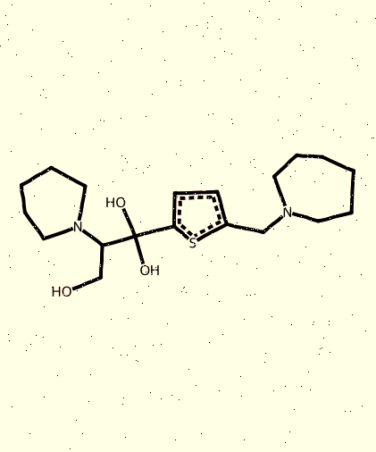 OCC(N1CCCCC1)C(O)(O)c1ccc(CN2CCCCCC2)s1